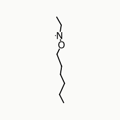 CCCCCCO[N]CC